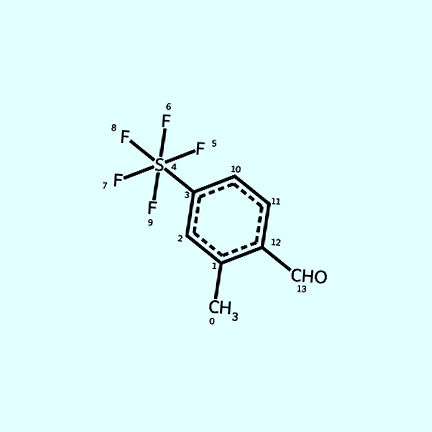 Cc1cc(S(F)(F)(F)(F)F)ccc1C=O